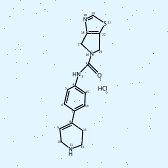 Cl.O=C(Nc1ccc(C2=CCNCC2)cc1)N1Cc2ncsc2C1